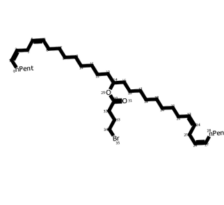 CCCCC/C=C\C/C=C\CCCCCCCCC(CCCCCCCC/C=C\C/C=C\CCCCC)OC(=O)CCCBr